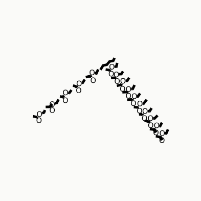 CCCCCC.CCOC(C)=O.CCOC(C)=O.CCOC(C)=O.CCOC(C)=O.CCOC(C)=O.CCOC(C)=O.CCOC(C)=O.CCOC(C)=O.CCOC(C)=O.CCOC(C)=O.CCOC(C)=O.CCOC(C)=O.CCOC(C)=O.CCOC(C)=O.CCOC(C)=O